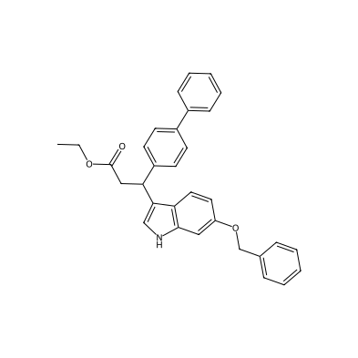 CCOC(=O)CC(c1ccc(-c2ccccc2)cc1)c1c[nH]c2cc(OCc3ccccc3)ccc12